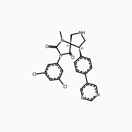 CN1C(=O)N(c2cc(Cl)cc(Cl)c2)C(=O)[C@]12CNC[C@H]2c1ccc(-c2cncnc2)cc1